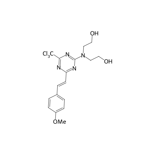 COc1ccc(C=Cc2nc(N(CCO)CCO)nc(C(Cl)(Cl)Cl)n2)cc1